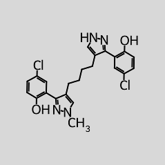 Cn1cc(CCCCc2c[nH]nc2-c2cc(Cl)ccc2O)c(-c2cc(Cl)ccc2O)n1